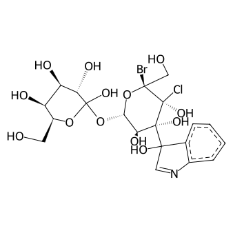 OC[C@@H]1OC(O)(O[C@@H]2O[C@](Br)(CO)[C@@](O)(Cl)[C@@](O)(C3(O)C=Nc4ccccc43)[C@H]2O)[C@@H](O)[C@H](O)[C@@H]1O